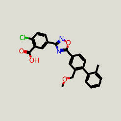 COCc1cc(-c2nc(-c3ccc(Cl)c(C(=O)O)c3)no2)ccc1-c1ccccc1C